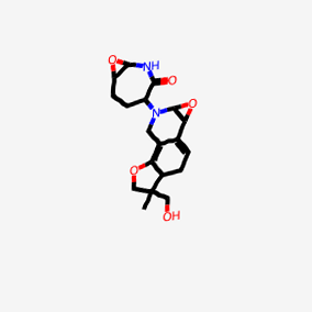 CC1(CO)COC2=C3CN(C4CCC5OC5NC4=O)C4OC4C3=CCC21